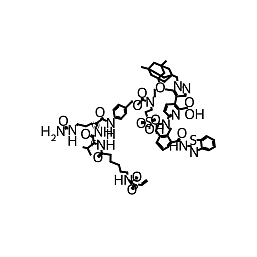 C=CS(=O)(=O)NCCCCCC(=O)N[C@H](C(=O)N[C@@H](CCCNC(N)=O)C(=O)Nc1ccc(COC(=O)N(CCOC23CC4(C)CC(C)(CC(Cn5ncc(-c6ccc(N7CCc8cccc(C(=O)Nc9nc%10ccccc%10s9)c8C7)nc6C(=O)O)c5C)(C4)C2)C3)CCS(=O)(=O)O)cc1)C(C)C